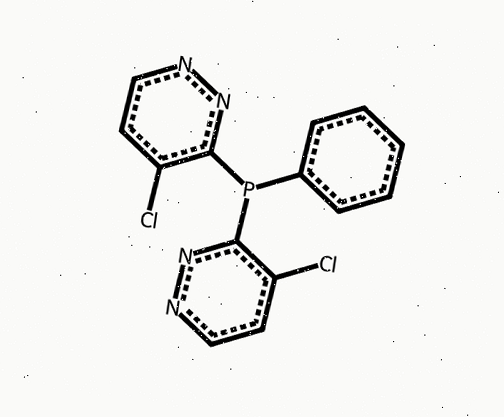 Clc1ccnnc1P(c1ccccc1)c1nnccc1Cl